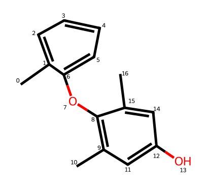 Cc1ccccc1Oc1c(C)cc(O)cc1C